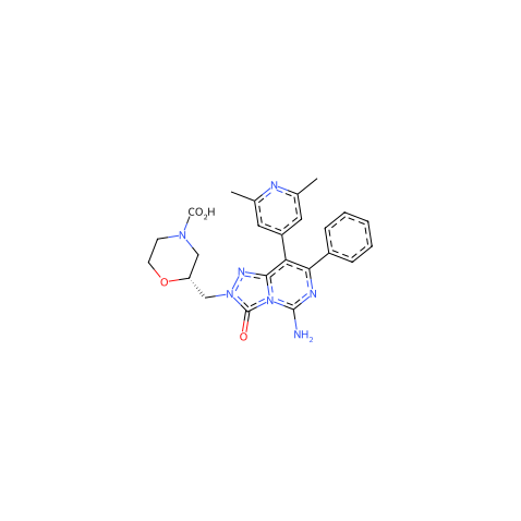 Cc1cc(-c2c(-c3ccccc3)nc(N)n3c(=O)n(C[C@H]4CN(C(=O)O)CCO4)nc23)cc(C)n1